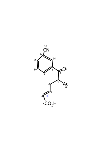 CC(=O)C(C/C=C/C(=O)O)C(=O)c1cccc(C#N)c1